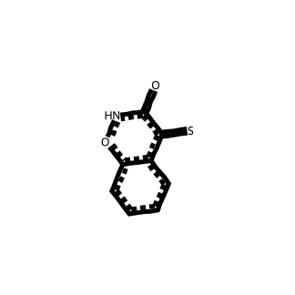 O=c1[nH]oc2ccccc2c1=S